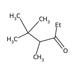 CCC(=O)C(C)C(C)(C)C